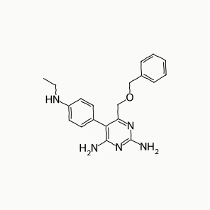 CCNc1ccc(-c2c(N)nc(N)nc2COCc2ccccc2)cc1